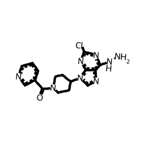 NNc1nc(Cl)nc2c1ncn2C1CCN(C(=O)c2cccnc2)CC1